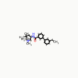 CCc1cccc(-c2cccc(C(=O)NC(CN(C)C)CC(C)(C)C)c2)c1